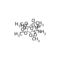 CC(=O)OCC1(C)O[C@@H](SC(N)=NBr)C(OC(C)=O)C(OC(C)=O)[C@@H]1OC(C)=O